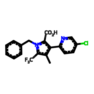 Cc1c(-c2ccc(Cl)cn2)c(C(=O)O)n(Cc2ccccc2)c1C(F)(F)F